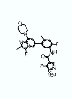 Cc1cc(F)c(NC(=O)c2cnn(C(C)(C)C)c2F)cc1-c1cc(N2CCOCC2)c2nc(C)c(F)n2c1